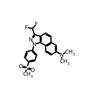 CN(C)c1ccc2c(ccc3c(C(F)F)nn(-c4ccc(S(C)(=O)=O)cc4)c32)c1